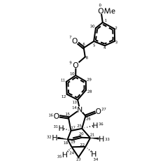 COc1cccc(C(=O)COc2ccc(N3C(=O)[C@@H]4[C@@H]5C=C[C@@H]([C@H]6C[C@@H]56)[C@@H]4C3=O)cc2)c1